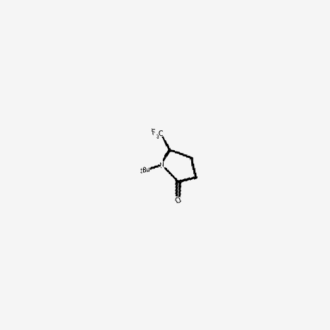 CC(C)(C)N1C(=O)CCC1C(F)(F)F